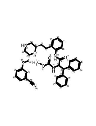 COC(=O)NC(C(=O)Nc1ccccc1CC[C@@H]1CNC[C@@H](CSc2cccc(C#N)c2)O1)C(c1ccccc1)c1ccccc1